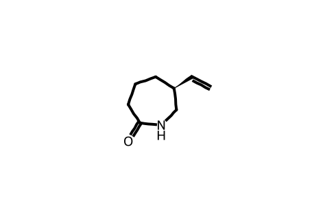 C=C[C@@H]1CCCC(=O)NC1